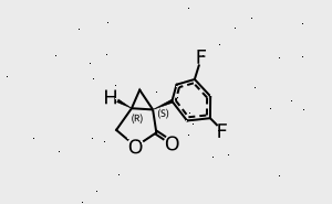 O=C1OC[C@@H]2C[C@]12c1cc(F)cc(F)c1